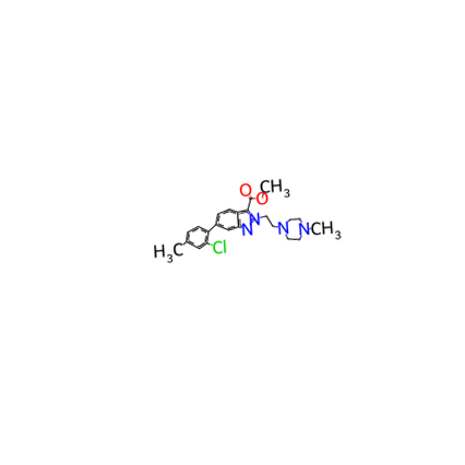 COC(=O)c1c2ccc(-c3ccc(C)cc3Cl)cc2nn1CCN1CCN(C)CC1